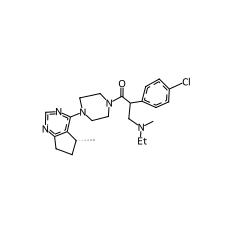 CCN(C)CC(C(=O)N1CCN(c2ncnc3c2[C@H](C)CC3)CC1)c1ccc(Cl)cc1